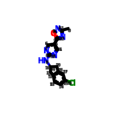 Cc1noc(-c2cnc(N[C@@H]3Cc4ccc(Cl)cc4C3)nc2)n1